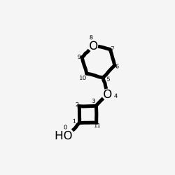 OC1CC(OC2CCOCC2)C1